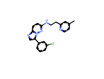 Cc1ccnc(CCNc2ccc3ncc(-c4cccc(Cl)c4)n3n2)c1